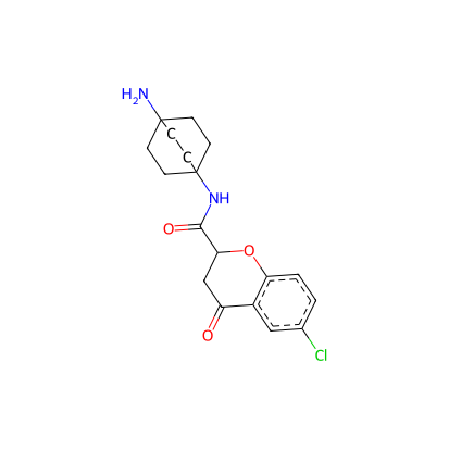 NC12CCC(NC(=O)C3CC(=O)c4cc(Cl)ccc4O3)(CC1)CC2